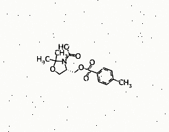 Cc1ccc(S(=O)(=O)OC[C@@H]2COC(C)(C)N2C(=O)O)cc1